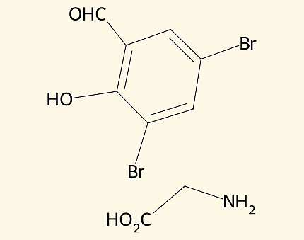 NCC(=O)O.O=Cc1cc(Br)cc(Br)c1O